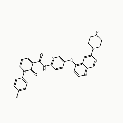 O=C(Nc1ccc(Oc2ccnc3cnc(N4CCNCC4)cc23)cn1)c1cccn(-c2ccc(F)cc2)c1=O